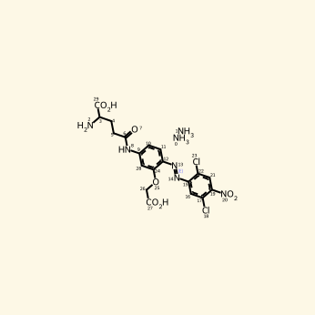 N.N.NC(CCC(=O)Nc1ccc(/N=N/c2cc(Cl)c([N+](=O)[O-])cc2Cl)c(OCC(=O)O)c1)C(=O)O